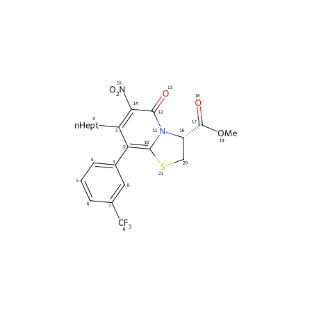 CCCCCCCc1c(-c2cccc(C(F)(F)F)c2)c2n(c(=O)c1[N+](=O)[O-])[C@H](C(=O)OC)CS2